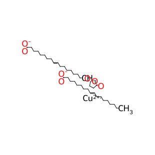 CCCCCCCCC=CCCCCCCCC(=O)[O-].CCCCCCCCC=CCCCCCCCC(=O)[O-].O=C1CCC(=O)O1.[Cu+2]